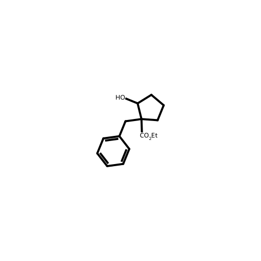 CCOC(=O)C1(Cc2ccccc2)CCCC1O